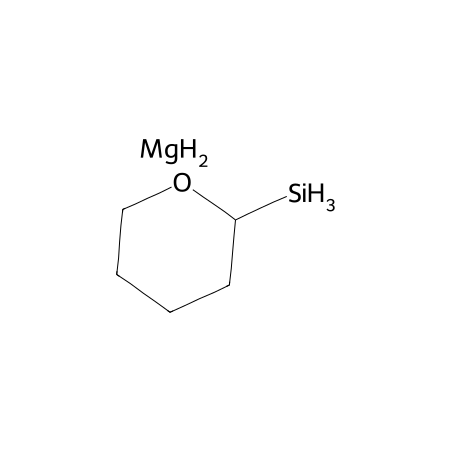 [MgH2].[SiH3]C1CCCCO1